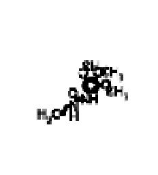 CCCNC(=O)Nc1cc(OC)c(OC)c(OC)c1